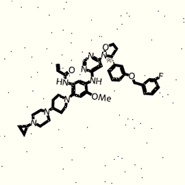 C=CC(=O)Nc1cc(Nc2cc(N3OCC[C@@H]3c3cccc(OCc4cccc(F)c4)c3)ncn2)c(OC)cc1N1CCC(N2CCN(C3CC3)CC2)CC1